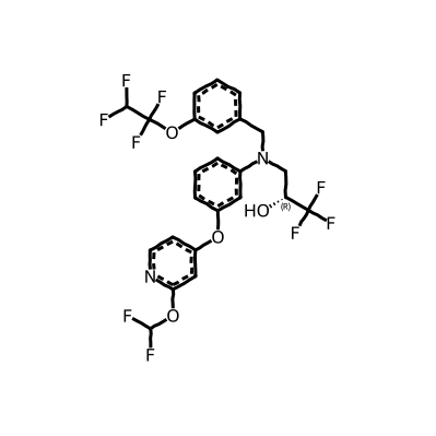 O[C@H](CN(Cc1cccc(OC(F)(F)C(F)F)c1)c1cccc(Oc2ccnc(OC(F)F)c2)c1)C(F)(F)F